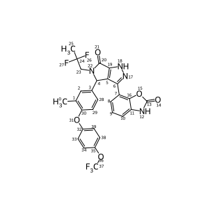 Cc1cc(C2c3c(-c4cccc5[nH]c(=O)oc45)n[nH]c3C(=O)N2CC(C)(F)F)ccc1Oc1ccc(OC(F)(F)F)cc1